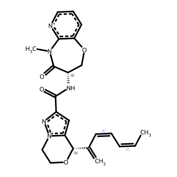 C=C(/C=C\C=C/C)[C@@H]1OCCn2nc(C(=O)N[C@H]3COc4cccnc4N(C)C3=O)cc21